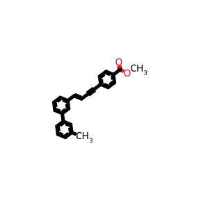 COC(=O)c1ccc(C#C/C=C/c2cccc(-c3cccc(C)c3)c2)cc1